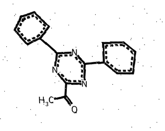 CC(=O)c1nc(-c2ccccc2)nc(-c2ccccc2)n1